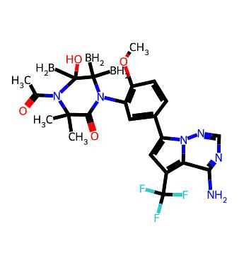 BC1(B)N(c2cc(-c3cc(C(F)(F)F)c4c(N)ncnn34)ccc2OC)C(=O)C(C)(C)N(C(C)=O)C1(B)O